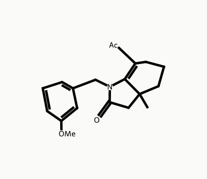 COc1cccc(CN2C(=O)CC3(C)CCCC(C(C)=O)=C23)c1